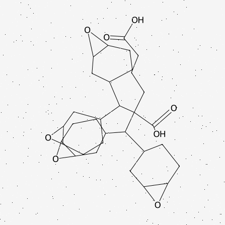 O=C(O)CCCC(C(=O)O)(C(C1CCC2OC2C1)C1CCC2OC2C1)C(C1CCC2OC2C1)C1CCC2OC2C1